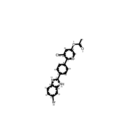 CC(=O)Oc1cnc(-c2ccc(-c3nc4ccc(Br)cc4[nH]3)cc2)c(Cl)c1